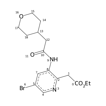 CCOC(=O)Cc1ncc(Br)cc1NC(=O)CC1CCOCC1